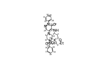 CCOCCCNc1c(N2CCN(S(=O)(=O)c3ccccc3)[C@@H](C)C2)cnn(-c2ccccc2)c1=O